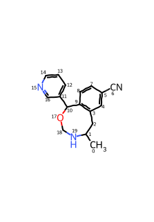 CC1Cc2cc(C#N)ccc2C(c2cccnc2)OCN1